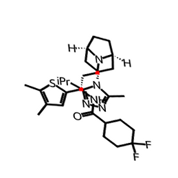 Cc1cc([C@H](CCN2[C@@H]3CC[C@H]2C[C@H](n2c(C)nnc2C(C)C)C3)NC(=O)C2CCC(F)(F)CC2)sc1C